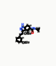 COc1cccc(/C=C/c2n[nH]c3ccc(C(=O)NC4CC4)c(OC)c23)c1